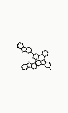 CC1C=Cc2c(c3ccccc3n2-c2ccccc2-c2nc(-c3ccc4c(c3)sc3c#cccc34)nc(-c3cccc4c3sc3ccccc34)n2)C1